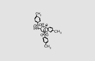 Cc1ccc(S(=O)(=O)NCC(NS(=O)(=O)c2ccc(C)cc2)NS(=O)(=O)c2ccc(C)cc2)cc1